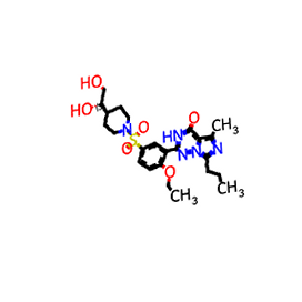 CCCc1nc(C)c2c(=O)[nH]c(-c3cc(S(=O)(=O)N4CCC([C@H](O)CO)CC4)ccc3OCC)nn12